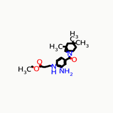 CCOC(=O)CCNc1ccc(C(=O)N2CC3(C)CC2CC(C)(C)C3)cc1N